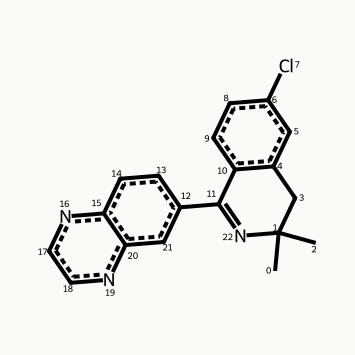 CC1(C)Cc2cc(Cl)ccc2C(c2ccc3nccnc3c2)=N1